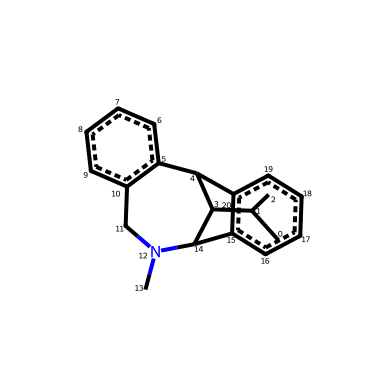 CC(C)C1C2c3ccccc3CN(C)C1c1ccccc12